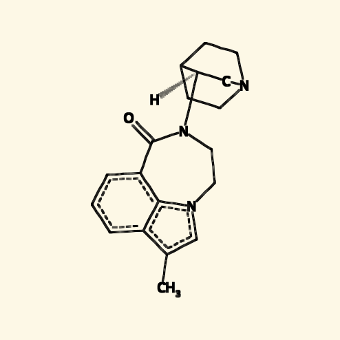 Cc1cn2c3c(cccc13)C(=O)N([C@@H]1CN3CCC1CC3)CC2